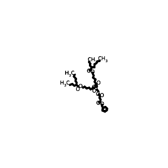 CCCCCCC(CCCC)C(=O)OCCCCCC(=O)OC[C@H](COC(=O)CCC(=O)OCc1ccccc1)OC(=O)CCCCCOC(=O)C(CCCC)CCCCCC